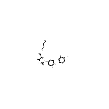 C=CCCCOC(=O)c1nn(-c2cc(C)c(Oc3ccc(OC)c(Br)c3)c(C)c2)c(=O)[nH]c1=O